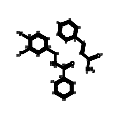 NC(=O)/C=C/c1ccncc1.O=C(NCc1ccc(F)c(F)c1)c1ccccc1